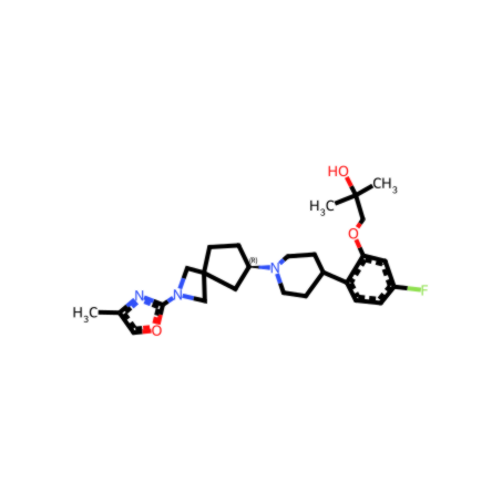 Cc1coc(N2CC3(CC[C@@H](N4CCC(c5ccc(F)cc5OCC(C)(C)O)CC4)C3)C2)n1